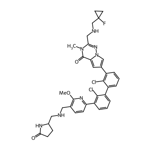 COc1nc(-c2cccc(-c3cccc(-c4cc5c(=O)n(C)c(CNCC6(F)CC6)nn5c4)c3Cl)c2Cl)ccc1CNCC1CCC(=O)N1